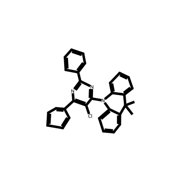 CC1(C)c2ccccc2N(c2nc(-c3ccccc3)nc(-c3ccccc3)c2Cl)c2ccccc21